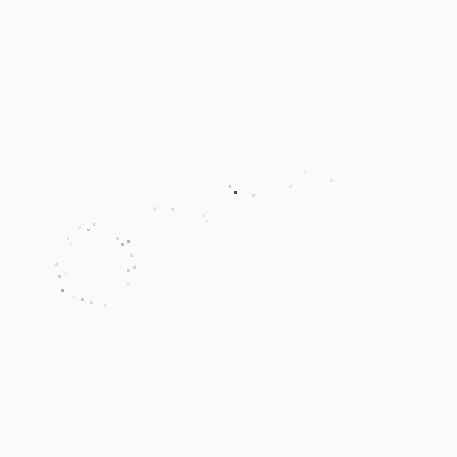 CCCON=CCc1ccccc1